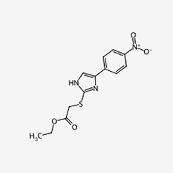 CCOC(=O)CSc1nc(-c2ccc([N+](=O)[O-])cc2)c[nH]1